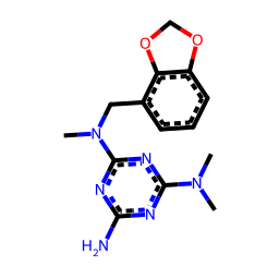 CN(C)c1nc(N)nc(N(C)Cc2cccc3c2OCO3)n1